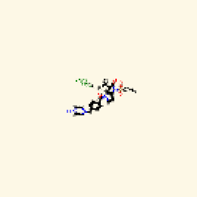 CC(C)[C@H]1C(=O)N(S(C)(=O)=O)C2=CCN(C(=O)c3ccc(CN4CCNCC4)cc3)[C@@H]21.Cl.Cl